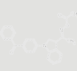 CC(=O)O/N=C(\C)C1CN(c2ccc(C(=O)c3ccccc3)cc2)c2ccccc21